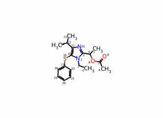 CCn1c(C(C)OC(C)=O)nc(C(C)C)c1Sc1ccccc1